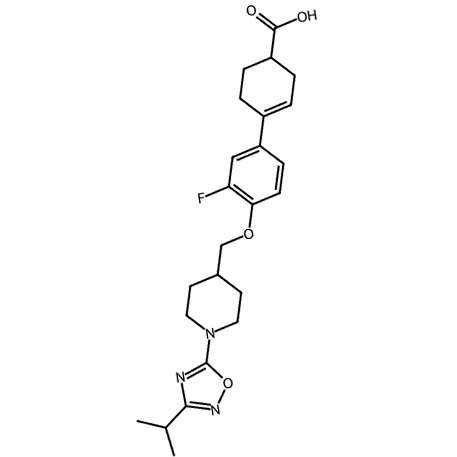 CC(C)c1noc(N2CCC(COc3ccc(C4=CCC(C(=O)O)CC4)cc3F)CC2)n1